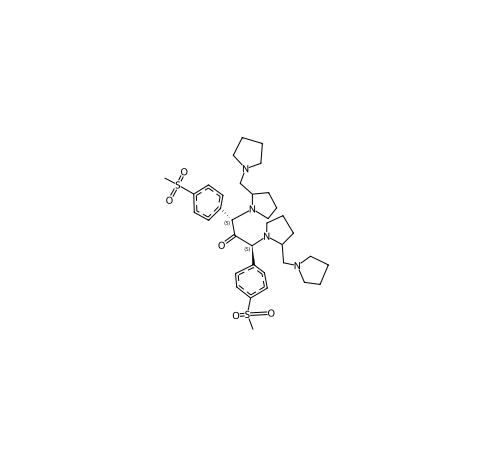 CS(=O)(=O)c1ccc([C@@H](C(=O)[C@H](c2ccc(S(C)(=O)=O)cc2)N2CCCC2CN2CCCC2)N2CCCC2CN2CCCC2)cc1